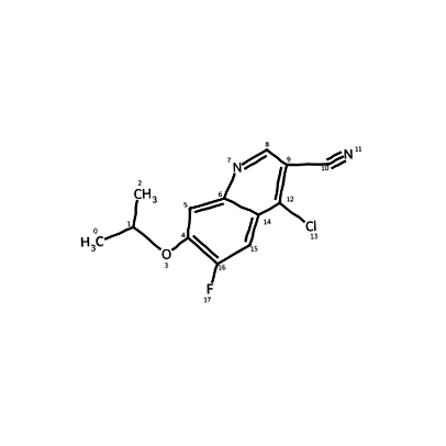 CC(C)Oc1cc2ncc(C#N)c(Cl)c2cc1F